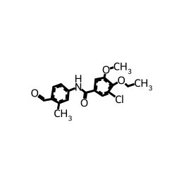 CCOc1c(Cl)cc(C(=O)Nc2ccc(C=O)c(C)c2)cc1OC